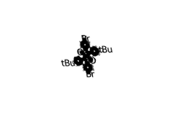 CC(C)(C)c1ccc(C2=C3C(=O)N(c4ccc(Br)cc4)C(c4ccc(C(C)(C)C)cc4)=C3C(=O)N2c2ccc(Br)cc2)cc1